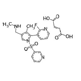 CNCc1cn(S(=O)(=O)c2cccnc2)c(-c2cccnc2F)c1C.O=C(O)C=CC(=O)O